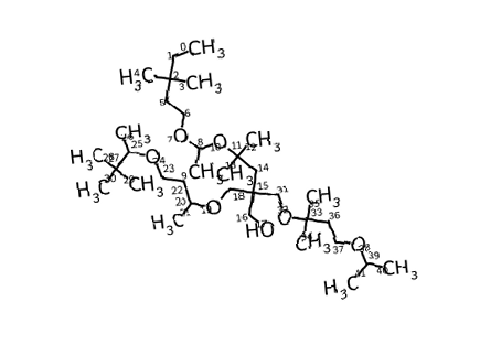 CCC(C)(C)CCOC(C)OC(C)(C)CC(CO)(COC(C)CCOC(C)C(C)(C)C)COC(C)(C)CCOC(C)C